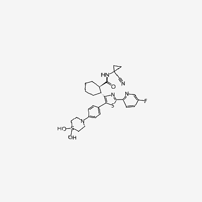 N#CC1(NC(=O)[C@@H]2CCCC[C@H]2c2nc(-c3ccc(F)cn3)sc2-c2ccc(N3CCS(O)(O)CC3)cc2)CC1